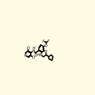 O=C(Nc1c(Cl)cncc1Cl)c1ccc(OC(F)F)c2c1NCC(C1CCCC1)O2